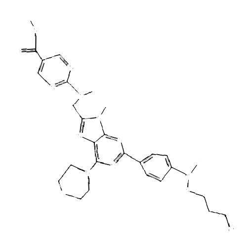 CN(Cc1nc2c(N3CCOCC3)nc(-c3ccc([S+]([O-])NCCCCl)cc3)nc2n1C)c1ncc(C(=O)NO)cn1